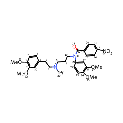 COc1ccc(CCN(CCCN(C(=O)c2ccc([N+](=O)[O-])cc2)c2ccc(OC)c(OC)c2)C(C)C)cc1OC